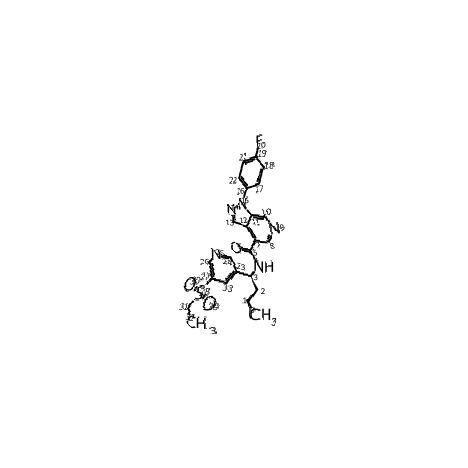 CCC[C@H](NC(=O)c1cncc2c1cnn2-c1ccc(F)cc1)c1cncc(S(=O)(=O)CC)c1